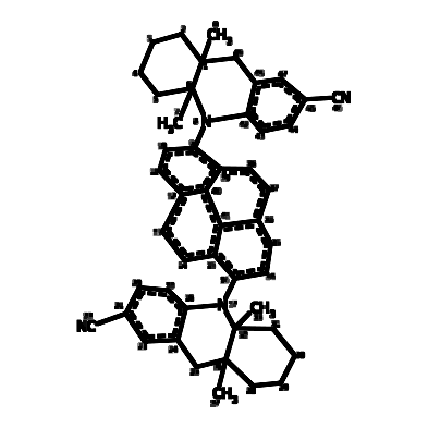 CC12CCCCC1(C)N(c1ccc3ccc4c(N5c6ccc(C#N)cc6CC6(C)CCCCC56C)ccc5ccc1c3c54)c1ccc(C#N)cc1C2